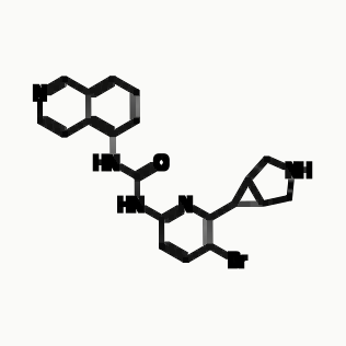 O=C(Nc1ccc(Br)c(C2C3CNCC32)n1)Nc1cccc2cnccc12